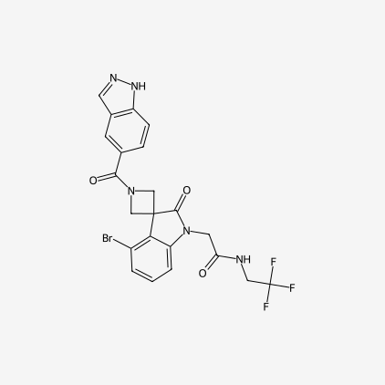 O=C(CN1C(=O)C2(CN(C(=O)c3ccc4[nH]ncc4c3)C2)c2c(Br)cccc21)NCC(F)(F)F